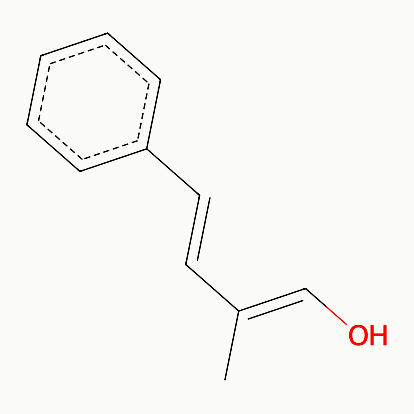 CC(C=Cc1ccccc1)=CO